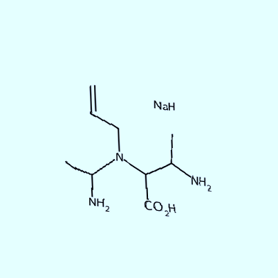 C=CCN(C(C)N)C(C(=O)O)C(C)N.[NaH]